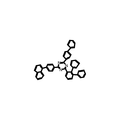 c1ccc(-c2ccc(-c3nc(-c4ccc(-c5cccc6ccccc56)cc4)nc(-c4cccc(-c5ccccc5)c4-c4ccccc4)n3)cc2)cc1